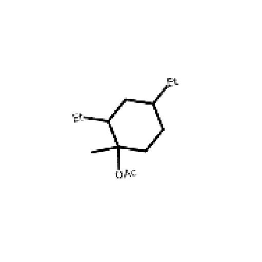 CCC1CCC(C)(OC(C)=O)C(CC)C1